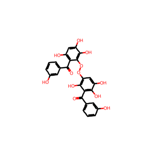 O=C(c1cccc(O)c1)c1c(O)c(O)cc(OOc2c(O)c(O)cc(O)c2C(=O)c2cccc(O)c2)c1O